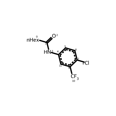 CCCCCCC(=O)Nc1ccc(Cl)c(C(F)(F)F)c1